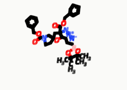 CC1(C)OB(CCCC2OC3(CCN(C(=O)OCc4ccccc4)C3)CC2(N=[N+]=[N-])C(=O)OCc2ccccc2)OC1(C)C